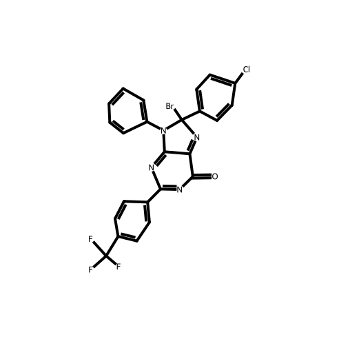 O=C1N=C(c2ccc(C(F)(F)F)cc2)N=C2C1=NC(Br)(c1ccc(Cl)cc1)N2c1ccccc1